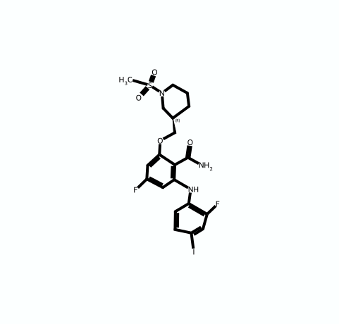 CS(=O)(=O)N1CCC[C@@H](COc2cc(F)cc(Nc3ccc(I)cc3F)c2C(N)=O)C1